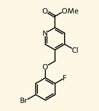 COC(=O)c1cc(Cl)c(COc2cc(Br)ccc2F)cn1